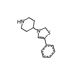 C1=C(c2ccccc2)SCN1C1CCNCC1